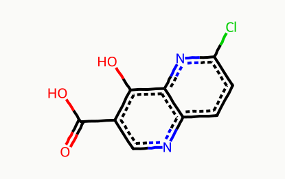 O=C(O)c1cnc2ccc(Cl)nc2c1O